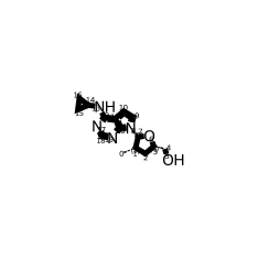 C[C@H]1C[C@@H](CO)O[C@H]1n1ccc2c(NC3CC3)ncnc21